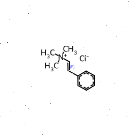 C[N+](C)(C)/C=C/c1ccccc1.[Cl-]